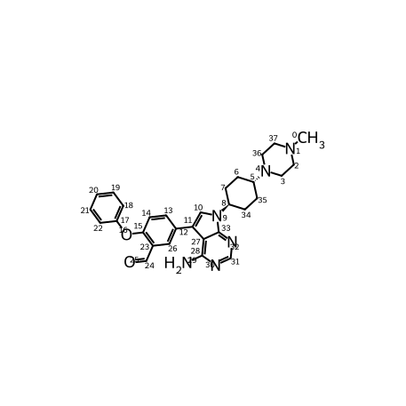 CN1CCN([C@H]2CC[C@H](n3cc(-c4ccc(Oc5ccccc5)c(C=O)c4)c4c(N)ncnc43)CC2)CC1